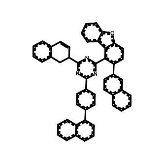 C1=CC(c2nc(-c3ccc(-c4cccc5ccccc45)cc3)nc(-c3c(-c4ccc5ccccc5c4)ccc4oc5ccccc5c34)n2)Cc2ccccc21